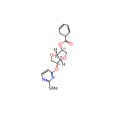 CSc1nccc(O[C@H]2CO[C@H]3[C@@H]2OC[C@@H]3OC(=O)C2C=CC=CC2)n1